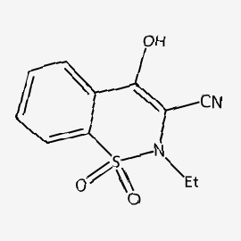 CCN1C(C#N)=C(O)c2ccccc2S1(=O)=O